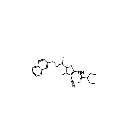 CCC(CC)C(=O)Nc1sc(C(=O)OCc2ccc3ccccc3c2)c(C)c1C#N